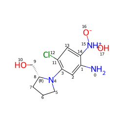 Nc1cc(N2CCC[C@@H]2CO)c(Cl)cc1[NH+]([O-])O